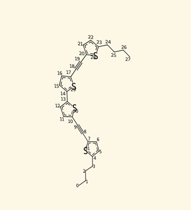 CCCCc1ccc(C#Cc2ccc(-c3ccc(C#Cc4ccc(CCCC)s4)s3)s2)s1